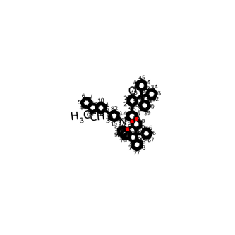 CC1(C)c2ccccc2-c2ccc(-c3ccc(N(c4cccc(-c5ccc6c(c5)C(c5ccccc5)(c5ccccc5)c5ccccc5O6)c4)c4ccccc4-c4ccccc4C4(c5ccccc5)c5ccccc5-c5ccccc54)cc3)cc21